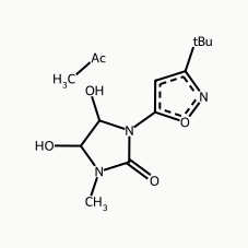 CC(C)=O.CN1C(=O)N(c2cc(C(C)(C)C)no2)C(O)C1O